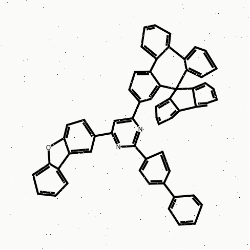 c1ccc(-c2ccc(-c3nc(-c4ccc5c(c4)C4(c6ccccc6-c6ccccc6-5)c5ccccc5-c5ccccc54)cc(-c4ccc5oc6ccccc6c5c4)n3)cc2)cc1